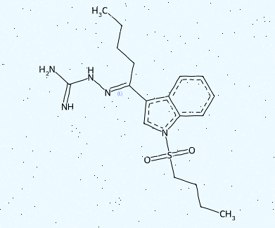 CCCC/C(=N\NC(=N)N)c1cn(S(=O)(=O)CCCC)c2ccccc12